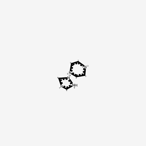 c1cnccn1.c1nc[nH]n1